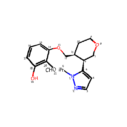 CC(C)n1nccc1[C@@H]1COCC[C@@H]1COc1cccc(O)c1C=O